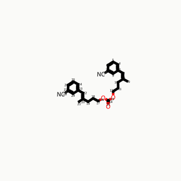 CC(=Cc1cccc(C#N)c1)CCCOC(=O)OCCCC(C)=Cc1cccc(C#N)c1